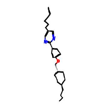 CCCCCc1cnc(-c2ccc(OC[C@H]3CC[C@H](CCCC)CC3)cc2)nc1